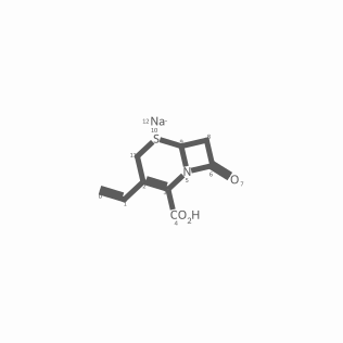 C=CC1=C(C(=O)O)N2C(=O)CC2SC1.[Na]